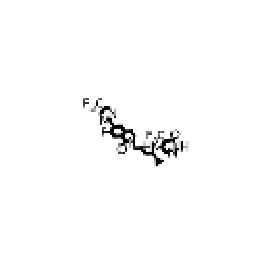 O=c1[nH]ncc(NC(CCCn2ccc3cc(-c4ncc(C(F)(F)F)cn4)c(F)cc3c2=O)C2CC2)c1C(F)(F)F